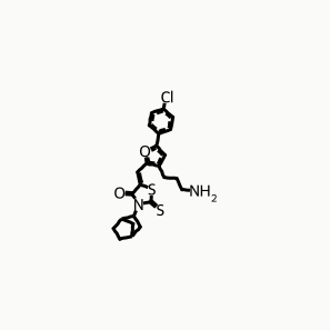 NCCCc1cc(-c2ccc(Cl)cc2)oc1/C=C1\SC(=S)N(C2CC3CCC2C3)C1=O